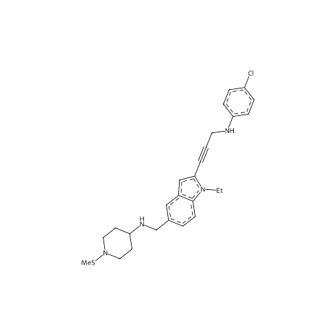 CCn1c(C#CCNc2ccc(Cl)cc2)cc2cc(CNC3CCN(SC)CC3)ccc21